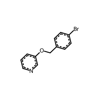 Brc1ccc(COc2cccnc2)cc1